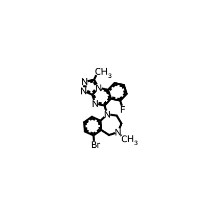 Cc1nnc2nc(N3CCN(C)Cc4c(Br)cccc43)c3c(F)cccc3n12